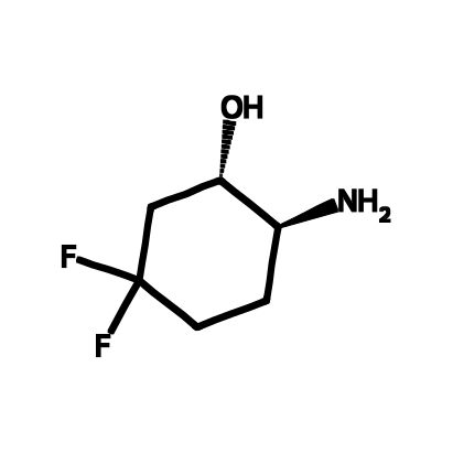 N[C@H]1CCC(F)(F)C[C@@H]1O